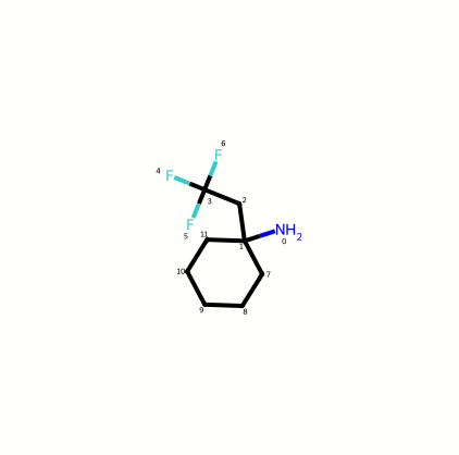 NC1(CC(F)(F)F)CCCCC1